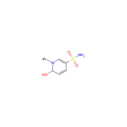 CC(C)N1C=C(S(N)(=O)=O)C=CC1O